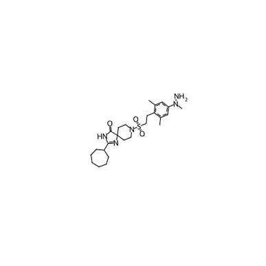 Cc1cc(N(C)N)cc(C)c1CCS(=O)(=O)N1CCC2(CC1)N=C(C1CCCCCC1)NC2=O